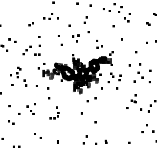 Bc1nc(-c2ccc(C(C)(C)C)cc2)c(B)c(B)c1C1(B)CCS(C)(C)CC1